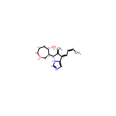 C=C1/C(=C\C=C/C)c2cncn2[C@@H]1[C@H]1COCCC[C@@H]1O